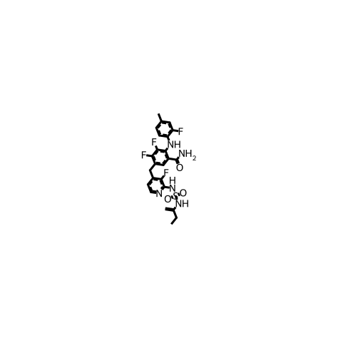 C=C(CC)NS(=O)(=O)Nc1nccc(Cc2cc(C(N)=O)c(Nc3ccc(C)cc3F)c(F)c2F)c1F